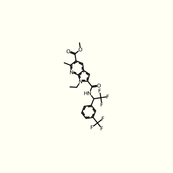 CCn1c(C(=O)NC(c2cccc(C(F)(F)F)c2)C(F)(F)F)cc2cc(C(=O)OC)c(C)nc21